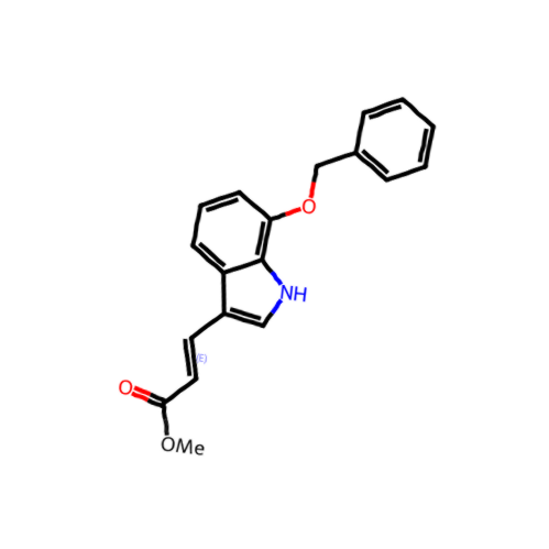 COC(=O)/C=C/c1c[nH]c2c(OCc3ccccc3)cccc12